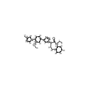 CCN1C(=O)C(n2cc(-c3ccc(-n4cnc(C)c4)c(OC)c3)nn2)CCc2ccccc21